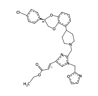 CCOC(=O)/C=C/c1cn(Cc2ncco2)c(CN2CCC(c3cccc4c3OC[C@@H](c3ccc(Cl)cc3)O4)CC2)n1